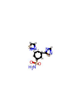 NS(=O)(=O)c1cccc(-c2ncns2)c1.c1csnn1